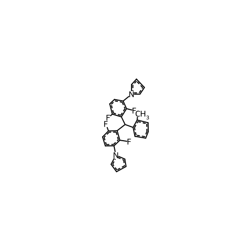 Cc1ccccc1C(c1c(F)ccc(-n2cccc2)c1F)c1c(F)ccc(-n2cccc2)c1F